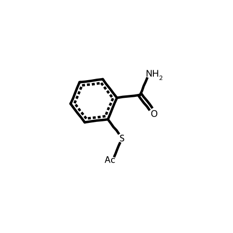 CC(=O)Sc1ccccc1C(N)=O